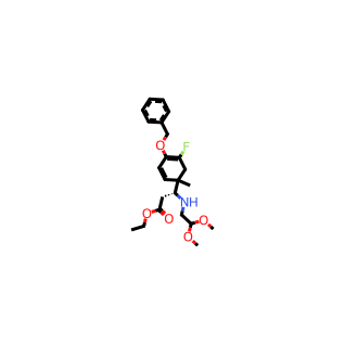 CCOC(=O)C[C@@H](NCC(OC)OC)C1(C)C=CC(OCc2ccccc2)=C(F)C1